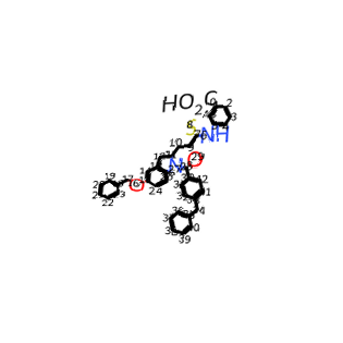 O=C(O)c1cccc(NC(=S)CCC2Cc3cc(OCc4ccccc4)ccc3N2C(=O)c2ccc(Cc3ccccc3)cc2)c1